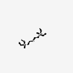 CC[N+](C)(CC)CCOCC[N+](C)(CC)CC